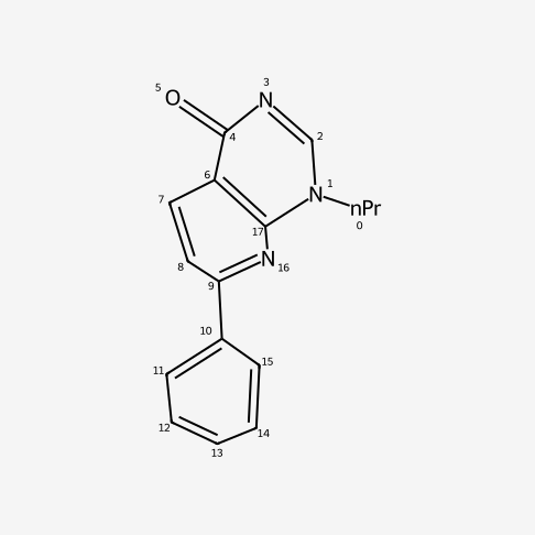 CCCn1cnc(=O)c2ccc(-c3ccccc3)nc21